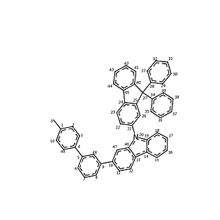 Cc1ccc(-c2cccc(-c3ccc4c5ccccc5n(-c5ccc6c(c5)C(c5ccccc5)(c5ccccc5)c5ccccc5-6)c4c3)c2)cc1